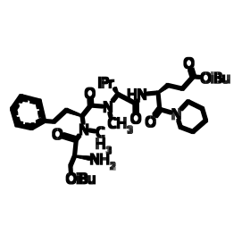 CC(C)COC[C@H](N)C(=O)N(C)[C@@H](CCc1ccccc1)C(=O)N(C)[C@H](C(=O)N[C@@H](CCC(=O)OCC(C)C)C(=O)N1CCCCC1)C(C)C